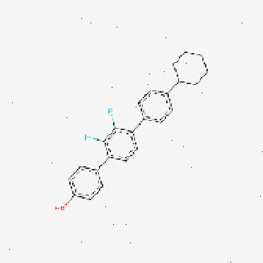 Oc1ccc(-c2ccc(-c3ccc(C4CCCCC4)cc3)c(F)c2F)cc1